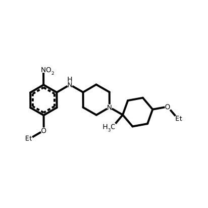 CCOc1ccc([N+](=O)[O-])c(NC2CCN(C3(C)CCC(OCC)CC3)CC2)c1